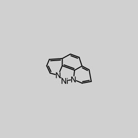 C1=C[N]2[Ni][N]3C=CC=c4ccc(c2c43)=C1